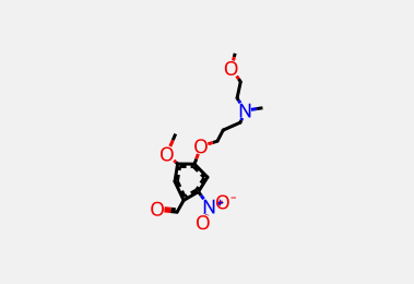 COCCN(C)CCCOc1cc([N+](=O)[O-])c(C=O)cc1OC